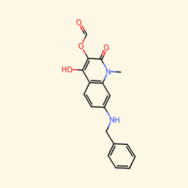 Cn1c(=O)c(OC=O)c(O)c2ccc(NCc3ccccc3)cc21